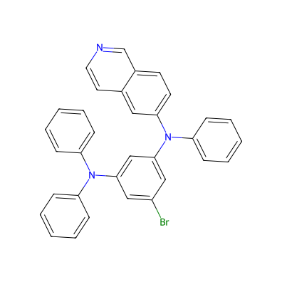 Brc1cc(N(c2ccccc2)c2ccccc2)cc(N(c2ccccc2)c2ccc3cnccc3c2)c1